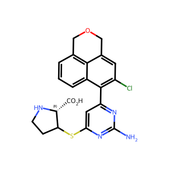 Nc1nc(SC2CCN[C@@H]2C(=O)O)cc(-c2c(Cl)cc3c4c(cccc24)COC3)n1